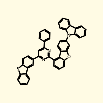 c1ccc(-c2cc(-c3ccc4sc5ccccc5c4c3)nc(-c3cccc4oc5cc(-n6c7ccccc7c7ccccc76)ccc5c34)n2)cc1